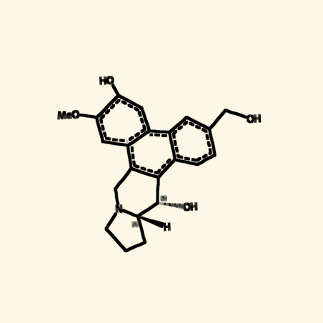 COc1cc2c3c(c4ccc(CO)cc4c2cc1O)[C@H](O)[C@@H]1CCCN1C3